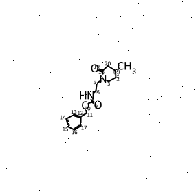 C[C@@H]1CCN(CCNC(=O)OCc2ccccc2)C(=O)C1